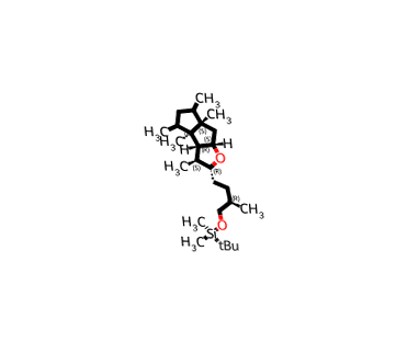 CC1CC(C)[C@]2(C)[C@H]3[C@H](C)[C@@H](CC[C@@H](C)CO[Si](C)(C)C(C)(C)C)O[C@H]3C[C@@]12C